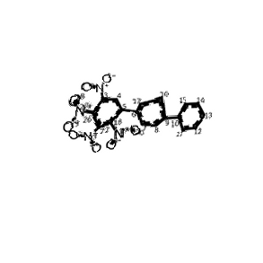 O=[N+]([O-])c1cc(-c2ccc(-c3ccccc3)cc2)c([N+](=O)[O-])c([N+](=O)[O-])c1[N+](=O)[O-]